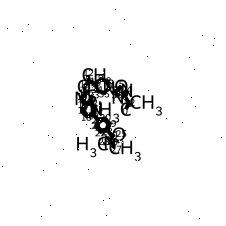 CC(C)c1noc(N2CCC(C(C)Oc3nc4ccc(-c5ccc(C(=O)N(C)C)cc5)nc4s3)CC2)n1